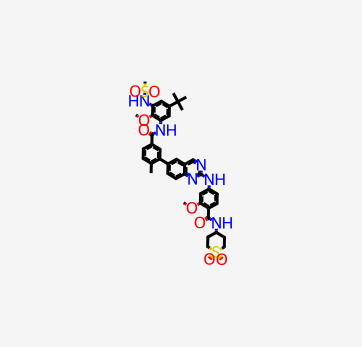 COc1cc(Nc2ncc3cc(-c4cc(C(=O)Nc5cc(C(C)(C)C)cc(NS(C)(=O)=O)c5OC)ccc4C)ccc3n2)ccc1C(=O)NC1CCS(=O)(=O)CC1